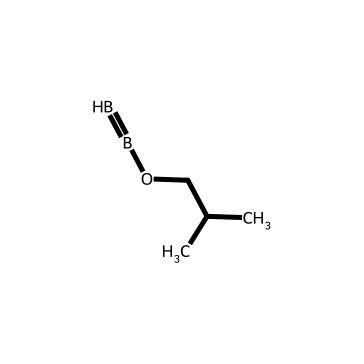 B=BOCC(C)C